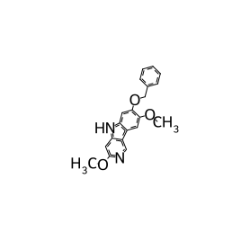 COc1cc2[nH]c3cc(OCc4ccccc4)c(OC)cc3c2cn1